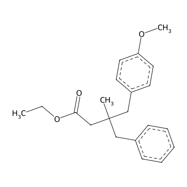 CCOC(=O)CC(C)(Cc1ccccc1)Cc1ccc(OC)cc1